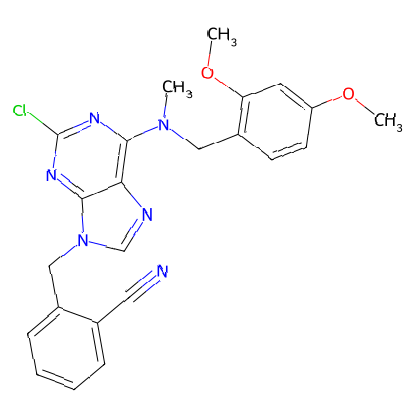 COc1ccc(CN(C)c2nc(Cl)nc3c2ncn3Cc2ccccc2C#N)c(OC)c1